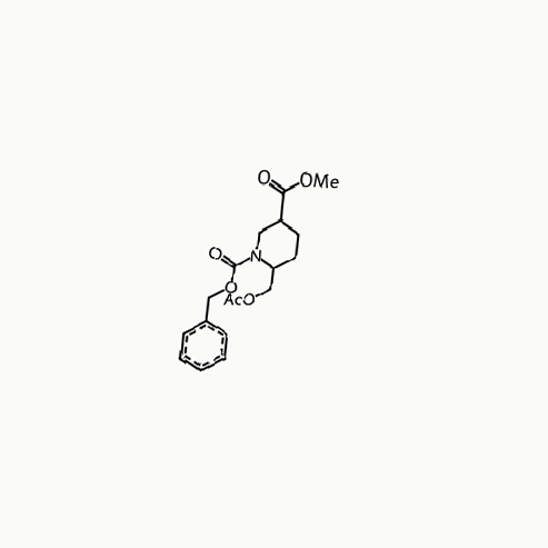 COC(=O)C1CCC(COC(C)=O)N(C(=O)OCc2ccccc2)C1